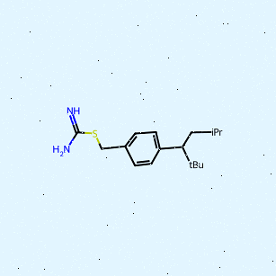 CC(C)CC(c1ccc(CSC(=N)N)cc1)C(C)(C)C